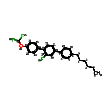 CCCCCCc1ccc(-c2ccc(-c3ccc(OC(F)F)cc3)c(F)c2)cc1